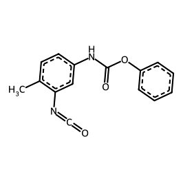 Cc1ccc(NC(=O)Oc2ccccc2)cc1N=C=O